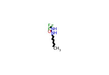 CCCCCCCCNC(=O)NC(F)(F)F